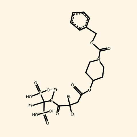 CCN(C(=O)C(CC)(CC)CC(=O)OC1CCN(C(=O)OCc2ccccc2)CC1)C(CC)(P(=O)(O)O)P(=O)(O)O